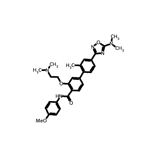 COc1ccc(NC(=O)c2ccc(-c3ccc(-c4noc(N(C)C)n4)cc3C)cc2OCCN(C)C)cc1